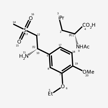 CC(=O)N[C@H](CC(C)C)C(=O)O.CCOc1cc([C@H](N)CS(C)(=O)=O)ccc1OC